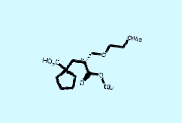 COCCOC[C@@H](CC1(C(=O)O)CCCC1)C(=O)OC(C)(C)C